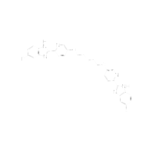 Fc1ccc2[nH]c(-c3ccc(OCCOCCOc4ccc(-c5nc6cc(F)ccc6[nH]5)nc4)cn3)nc2c1